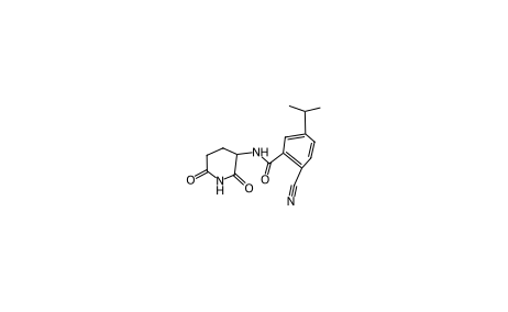 CC(C)c1ccc(C#N)c(C(=O)NC2CCC(=O)NC2=O)c1